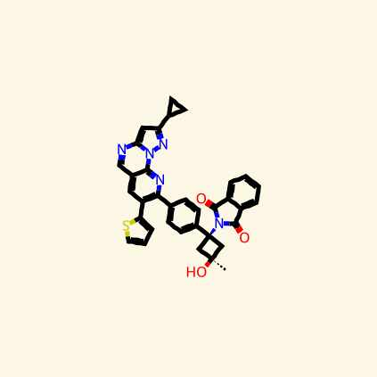 C[C@]1(O)C[C@@](c2ccc(-c3nc4c(cnc5cc(C6CC6)nn54)cc3-c3cccs3)cc2)(N2C(=O)c3ccccc3C2=O)C1